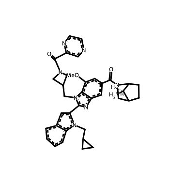 COc1cc(C(=O)N2CC3CCC2[C@@H]3N)cc2nc(-c3cc4ccccc4n3CC3CC3)n(CC3CN(C(=O)c4cnccn4)C3)c12